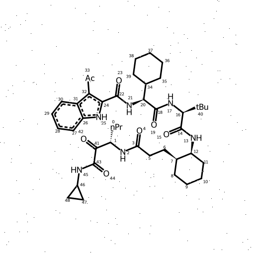 CCC[C@H](NC(=O)CC[C@@H]1CCCC[C@@H]1NC(=O)[C@@H](NC(=O)[C@@H](NC(=O)c1[nH]c2ccccc2c1C(C)=O)C1CCCCC1)C(C)(C)C)C(=O)C(=O)NC1CC1